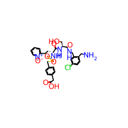 NCc1ccc(Cl)cc1CNC(=O)[C@H](CO)NC(=O)[C@@H](CCc1cccc[n+]1[O-])NS(=O)(=O)Cc1ccc(CC(=O)O)cc1